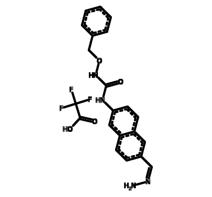 N/N=C\c1ccc2cc(NC(=O)NOCc3ccccc3)ccc2c1.O=C(O)C(F)(F)F